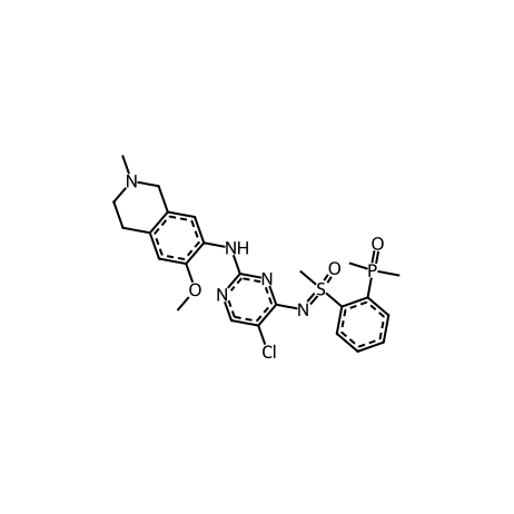 COc1cc2c(cc1Nc1ncc(Cl)c(N=S(C)(=O)c3ccccc3P(C)(C)=O)n1)CN(C)CC2